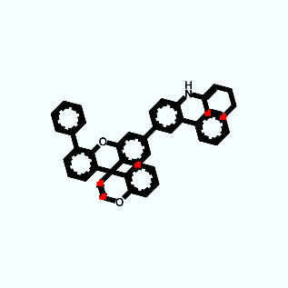 C1=CC(Nc2ccc(-c3ccc4c(c3)Oc3c(-c5ccccc5)cccc3C43C4=CCCC=C4Oc4ccccc43)cc2-c2ccccc2)=CCC1